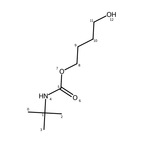 CC(C)(C)NC(=O)OCCCCO